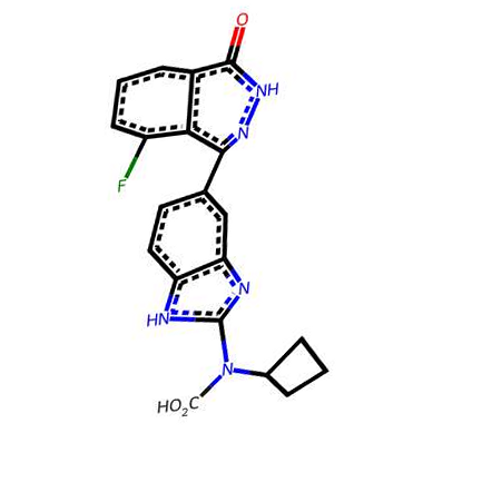 O=C(O)N(c1nc2cc(-c3n[nH]c(=O)c4cccc(F)c34)ccc2[nH]1)C1CCC1